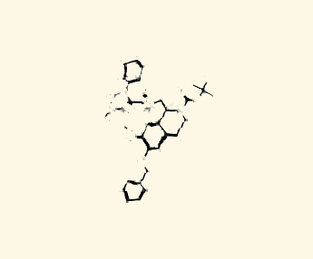 COc1cc2c(cc1OCc1ccccc1)CCN(C(=O)OC(C)(C)C)C2CS(=O)(=O)C1=NN(C)NN1c1ccccc1